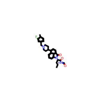 CCCC(C(=O)NC=O)N1C(=O)c2ccc(C3CCN(Cc4ccc(C)c(F)c4)CC3)c3cccc1c23